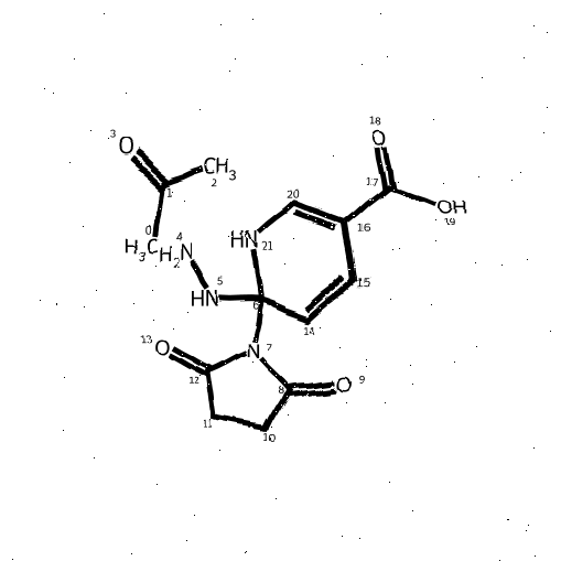 CC(C)=O.NNC1(N2C(=O)CCC2=O)C=CC(C(=O)O)=CN1